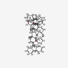 c1ccc2c(c1)Sc1ccc(-n3c4ccccc4c4ccccc43)cc1C21c2cc(-n3c4ccccc4c4ccccc43)cnc2-c2ncc(-n3c4ccccc4c4ccccc43)cc21